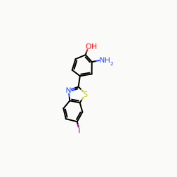 Nc1cc(-c2nc3ccc(I)cc3s2)ccc1O